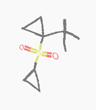 CC(C)(C)C1(S(=O)(=O)C2CC2)CC1